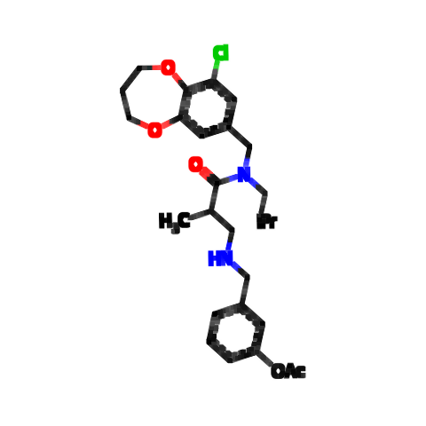 CC(=O)Oc1cccc(CNCC(C)C(=O)N(Cc2cc(Cl)c3c(c2)OCCCO3)CC(C)C)c1